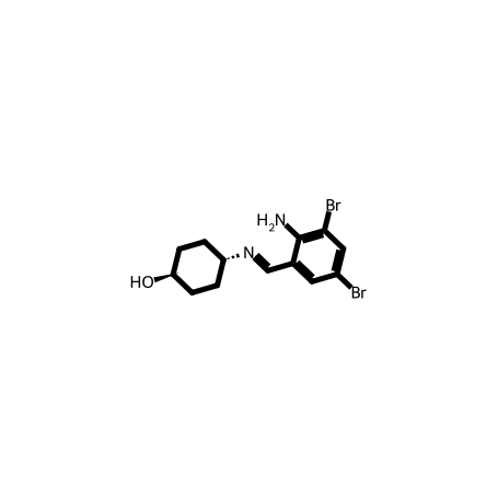 Nc1c(Br)cc(Br)cc1C=N[C@H]1CC[C@H](O)CC1